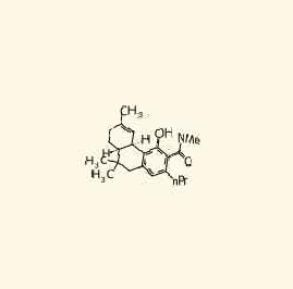 CCCc1cc2c(c(O)c1C(=O)NC)[C@@H]1C=C(C)CC[C@H]1C(C)(C)C2